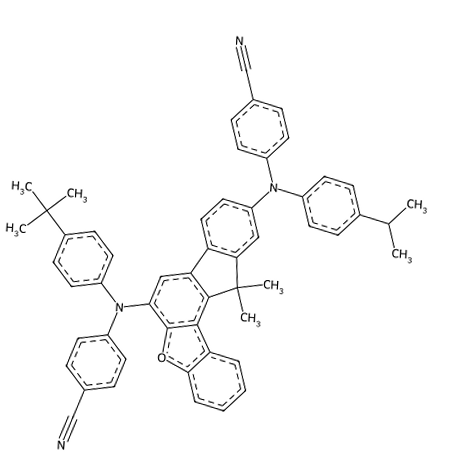 CC(C)c1ccc(N(c2ccc(C#N)cc2)c2ccc3c(c2)C(C)(C)c2c-3cc(N(c3ccc(C#N)cc3)c3ccc(C(C)(C)C)cc3)c3oc4ccccc4c23)cc1